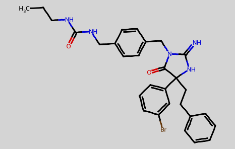 CCCNC(=O)NCc1ccc(CN2C(=N)NC(CCc3ccccc3)(c3cccc(Br)c3)C2=O)cc1